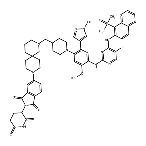 COc1cc(N2CCC(CN3CCCC4(CCN(c5ccc6c(c5)C(=O)N(C5CCC(=O)NC5=O)C6=O)CC4)C3)CC2)c(-c2cnn(C)c2)cc1Nc1ncc(Cl)c(Nc2ccc3nccnc3c2P(C)(C)=O)n1